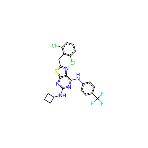 FC(F)(F)c1ccc(Nc2nc(NC3CCC3)nc3sc(Cc4c(Cl)cccc4Cl)nc23)cc1